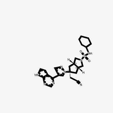 N#CC[C@@]1(n2cc(-c3ncnc4[nH]ccc34)cn2)C[C@H]2CN(S(=O)(=O)NC3CCCCC3)C[C@H]2C1